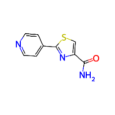 NC(=O)c1csc(-c2ccncc2)n1